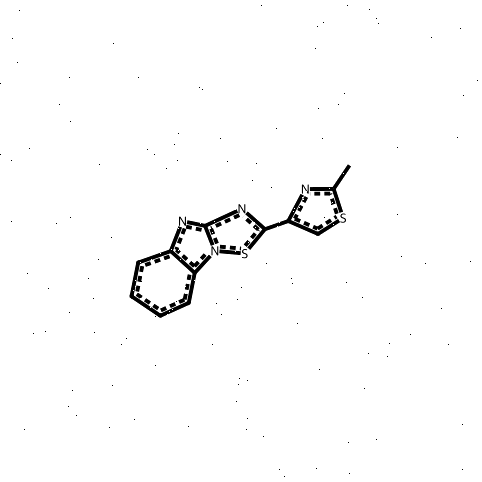 Cc1nc(-c2nc3nc4ccccc4n3s2)cs1